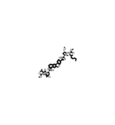 C=C(/C=C\C=C/C)[C@H](CN1C[C@@H](COC)C[C@H]1c1ncc(-c2ccc3c(c2)OCc2cc4c(ccc5nc([C@@H]6C[C@H]7C[C@H]7N6C(=O)[C@@H](NC(=O)OC)C(C)C)[nH]c54)cc2-3)[nH]1)NC(=O)OC